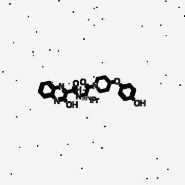 CC(C)[C@H](NC(=O)c1nc2ccccc2nc1O)C(=O)N1CCC(Oc2ccc(O)cc2)CC1